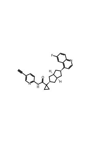 C#Cc1ccc(NC(=O)C2([C@H]3C[C@H]4C[C@@H](c5ccnc6ccc(F)cc56)C[C@H]4C3)CC2)nc1